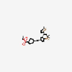 CCOC(=O)c1ccc(C#Cc2ccc3c(c2)C(c2ccc(C)s2)=CC(C)(C)S3)cc1